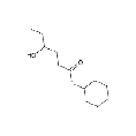 CCC(O)CCC(=O)OC1CCCCC1